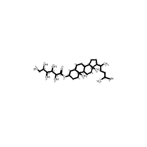 CC(C)C(C)CCC(C)C1CCC2C3CCC4CC(OC(=O)C(O)C(O)C(O)C(O)CO)CCC4(C)C3CCC12C